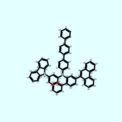 c1ccc(-c2ccc(-c3ccc(N(c4cccc(-n5c6ccccc6c6ccccc65)c4)c4cc(-c5cc6ccccc6c6ccccc56)ccc4-c4ccccc4)cc3)cc2)cc1